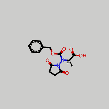 C[C@H](C(=O)O)N(C(=O)OCc1ccccc1)N1C(=O)CCC1=O